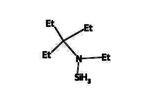 CCN([SiH3])C(CC)(CC)CC